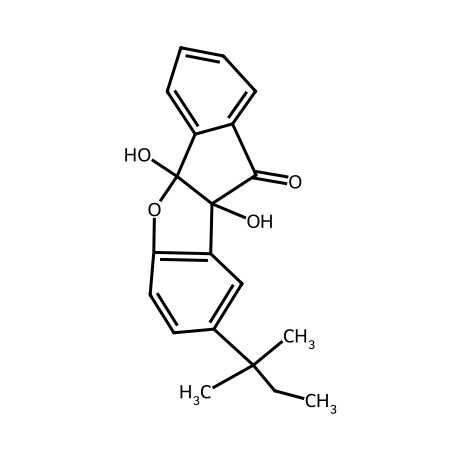 CCC(C)(C)c1ccc2c(c1)C1(O)C(=O)c3ccccc3C1(O)O2